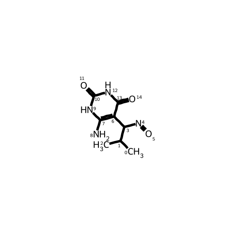 CC(C)C(N=O)c1c(N)[nH]c(=O)[nH]c1=O